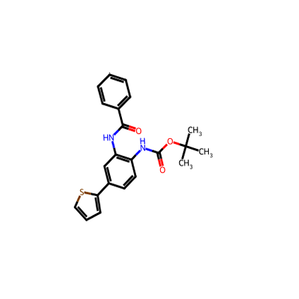 CC(C)(C)OC(=O)Nc1ccc(-c2cccs2)cc1NC(=O)c1cc[c]cc1